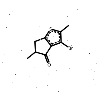 Cc1sc2c(c1Br)C(=O)C(C)C2